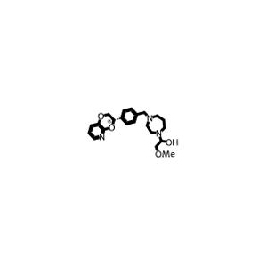 COCC(O)N1CCCN(Cc2ccc([C@H]3COc4cccnc4O3)cc2)CC1